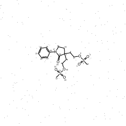 CS(=O)(=O)OCCC1(CCOS(C)(=O)=O)CCN(c2ccccc2)C1=O